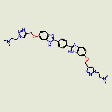 CN(C)CCn1cc(COc2ccc3nc(-c4ccc(-c5nc6ccc(OCc7cn(CCN(C)C)nn7)cc6[nH]5)cc4)[nH]c3c2)nn1